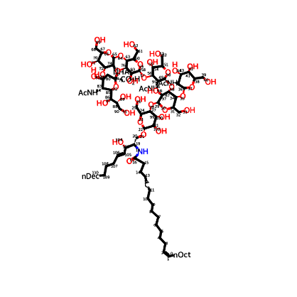 CCCCCCCC/C=C\CCCCCCCCCCCCCC(=O)N[C@@H](CO[C@@H]1OC(CO)[C@@H](O[C@@H]2OC(CO)[C@H](O[C@@H]3OC(CO)[C@H](O)[C@H](O)C3NC(C)=O)[C@H](O[C@@H]3OC(CO)[C@@H](O)[C@H](O[C@@H]4OC(CO)[C@H](O[C@@H]5OC(CO)[C@H](O)[C@H](O)C5NC(C)=O)[C@H](O[C@]5(C(=O)O)CC(O)[C@@H](NC(C)=O)C([C@H](O)[C@H](O)CO)O5)C4O)C3NC(C)=O)C2O)[C@H](O)C1O)[C@H](O)/C=C/CCCCCCCCCCCCC